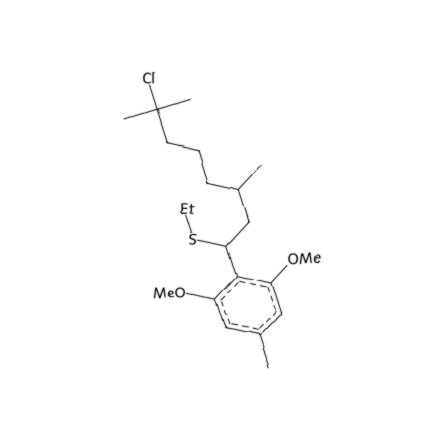 CCSC(CC(C)CCCC(C)(C)Cl)c1c(OC)cc(C)cc1OC